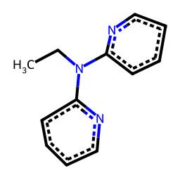 CCN(c1ccccn1)c1ccccn1